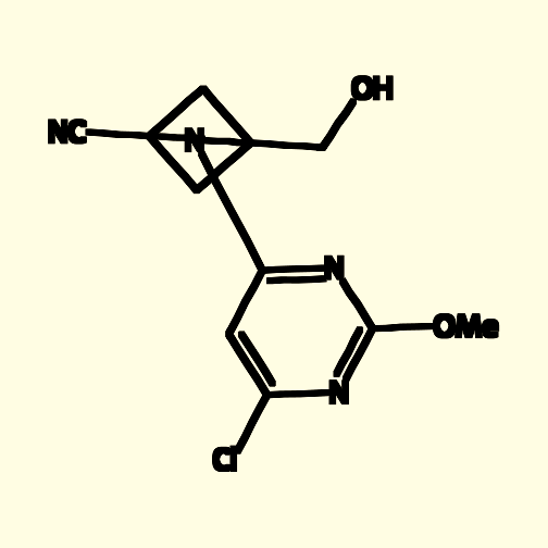 COc1nc(Cl)cc(N2CC3(C#N)CC2(CO)C3)n1